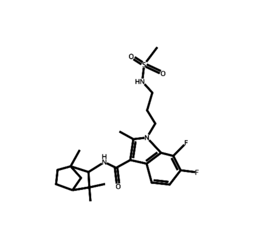 Cc1c(C(=O)NC2C3(C)CCC(C3)C2(C)C)c2ccc(F)c(F)c2n1CCCNS(C)(=O)=O